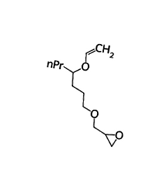 C=COC(CCC)CCCOCC1CO1